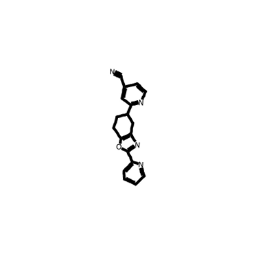 N#Cc1ccnc(C2CCc3oc(-c4ccccn4)nc3C2)c1